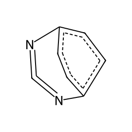 C1=Nc2ccc(cc2)N=1